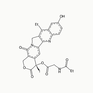 CCC(=O)NCC(=O)O[C@]1(I)C(=O)OCc2c1cc1n(c2=O)Cc2c-1nc1ccc(O)cc1c2CC